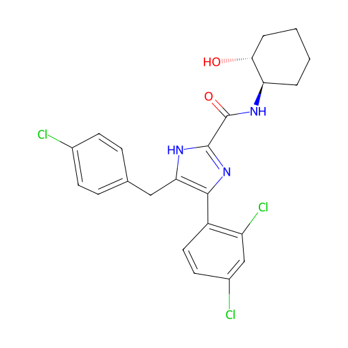 O=C(N[C@@H]1CCCC[C@H]1O)c1nc(-c2ccc(Cl)cc2Cl)c(Cc2ccc(Cl)cc2)[nH]1